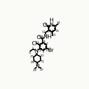 CCN(c1cc(Br)cc(C(=O)NCc2c(C)cc(C)[nH]c2=O)c1Cl)C1CCC(N(C)C)CC1